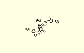 Cl.Cl.Cn1nc2c(=O)n(CC3(O)CCN(Cc4ccc(-c5ccsc5)cc4Cl)CC3)cnc2c1-c1ccc(CN)cc1